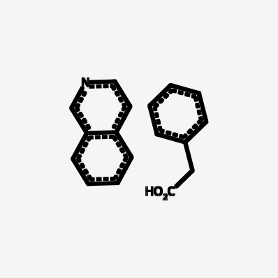 O=C(O)Cc1ccccc1.c1ccc2cnccc2c1